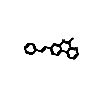 Cc1nc2cc(/C=C/c3ccccc3)ccc2c2cccnc12